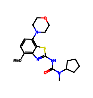 COc1ccc(N2CCOCC2)c2sc(NC(=O)N(C)C3CCCC3)nc12